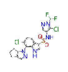 O=S(=O)(Nc1cnn(C(F)F)c1Cl)c1c[nH]c2c(-n3ncc4c3CCC4)c(Cl)ccc12